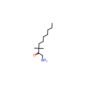 CCCCCCCC(C)(C)C(=O)CN